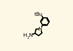 CC(C)(C)c1cccc(N2CCC(N)C2)c1